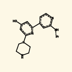 CC(C)Nc1cc(-c2cc(O)cc(N3CCNCC3)n2)ccn1